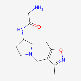 Cc1noc(C)c1CN1CCC(NC(=O)CN)C1